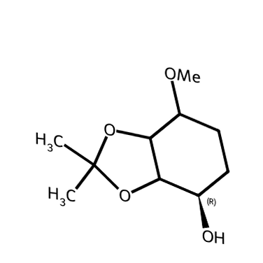 COC1CC[C@@H](O)C2OC(C)(C)OC12